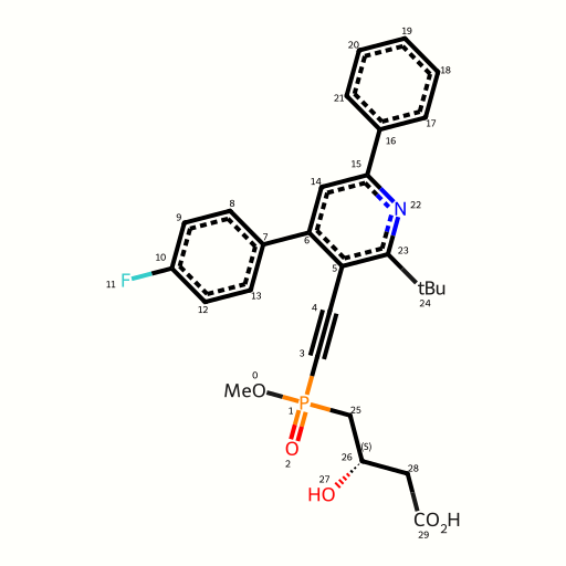 COP(=O)(C#Cc1c(-c2ccc(F)cc2)cc(-c2ccccc2)nc1C(C)(C)C)C[C@@H](O)CC(=O)O